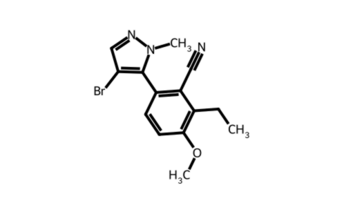 CCc1c(OC)ccc(-c2c(Br)cnn2C)c1C#N